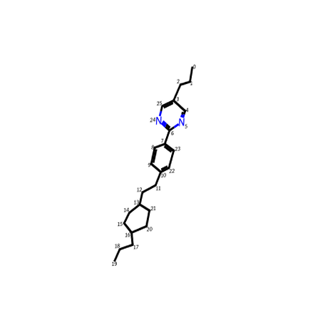 CCCc1cnc(-c2ccc(CCC3CCC(CCC)CC3)cc2)nc1